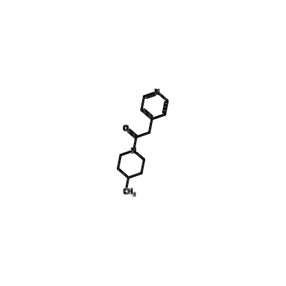 CC1CCN(C(=O)Cc2ccncc2)CC1